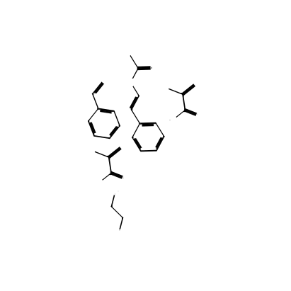 C=C(C)C(=O)O.C=C(C)C(=O)O.C=Cc1ccccc1.CC(=O)OC=Cc1ccccc1.OCCO